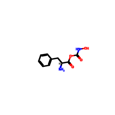 N[C@@H](Cc1ccccc1)C(=O)OC(=O)NO